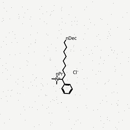 CCCCCCCCCCCCCCCCCCC(c1ccccc1)[N+](C)(C)CCC.[Cl-]